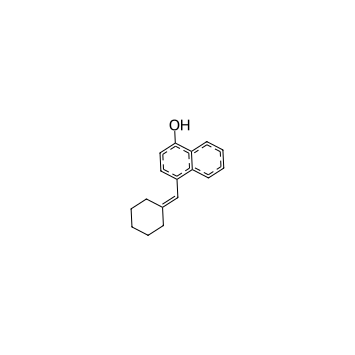 Oc1ccc(C=C2CCCCC2)c2ccccc12